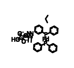 CC#N.CC#N.CCC.[O-][Cl+3]([O-])([O-])O.c1ccc([P]([Pd][P](c2ccccc2)c2ccccc2)c2ccccc2)cc1